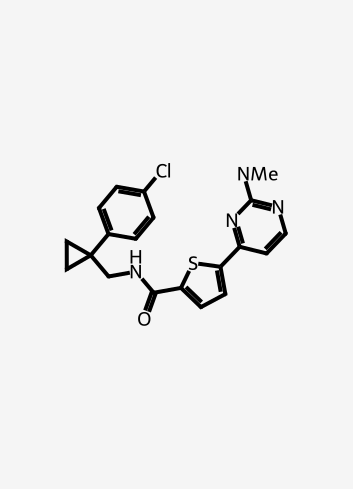 CNc1nccc(-c2ccc(C(=O)NCC3(c4ccc(Cl)cc4)CC3)s2)n1